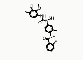 COc1c(NC(=O)N(S)c2ccc(NC(=O)c3ccccc3F)c(C)c2)ccc(C)c1Cl